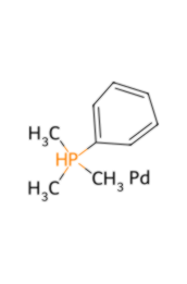 C[PH](C)(C)c1ccccc1.[Pd]